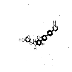 Cc1c(-c2ccc(-c3ccc(C4CCCNC4)cc3)cc2)c(F)cc2[nH]c(O[C@H]3COC[C@@H](O)C3)nc12